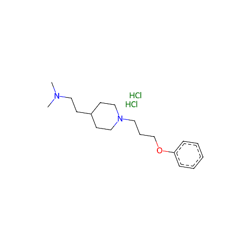 CN(C)CCC1CCN(CCCOc2ccccc2)CC1.Cl.Cl